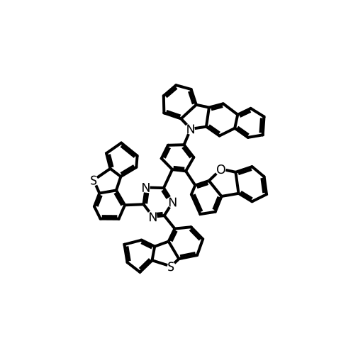 c1ccc2cc3c(cc2c1)c1ccccc1n3-c1ccc(-c2nc(-c3cccc4sc5ccccc5c34)nc(-c3cccc4sc5ccccc5c34)n2)c(-c2cccc3c2oc2ccccc23)c1